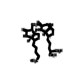 O=C(O)CCCCC1SC[C@H]2[C@@H]1NC(=O)N2C(=O)O.O=C1N[C@H]2[C@H](CS[C@H]2CCCC(C(=O)O)C(=O)O)N1